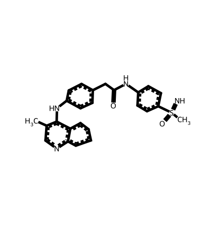 Cc1cnc2ccccc2c1Nc1ccc(CC(=O)Nc2ccc(S(C)(=N)=O)cc2)cc1